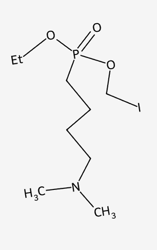 CCOP(=O)(CCCCN(C)C)OCI